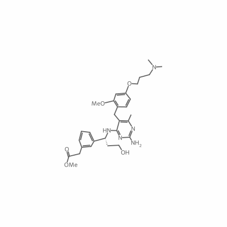 COC(=O)Cc1cccc([C@@H](CCO)Nc2nc(N)nc(C)c2Cc2ccc(OCCCN(C)C)cc2OC)c1